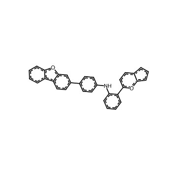 c1cc2ccc(-c3ccccc3Nc3ccc(-c4ccc5c(c4)oc4ccccc45)cc3)oc-2c1